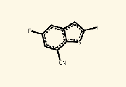 N#Cc1cc(F)cc2cc(I)sc12